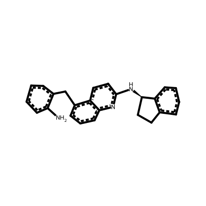 Nc1ccccc1Cc1cccc2nc(N[C@@H]3CCc4ccccc43)ccc12